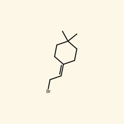 CC1(C)CCC(=CCBr)CC1